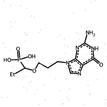 CCC(OCCCn1cnc2c(=O)[nH]c(N)nc21)P(=O)(O)O